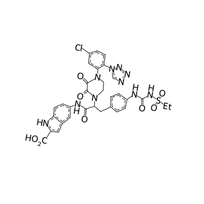 CCS(=O)(=O)NC(=O)Nc1ccc(CC(C(=O)Nc2ccc3[nH]c(C(=O)O)cc3c2)N2CCN(c3cc(Cl)ccc3-n3cnnn3)C(=O)C2=O)cc1